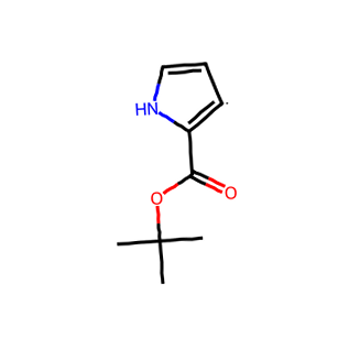 CC(C)(C)OC(=O)c1[c]cc[nH]1